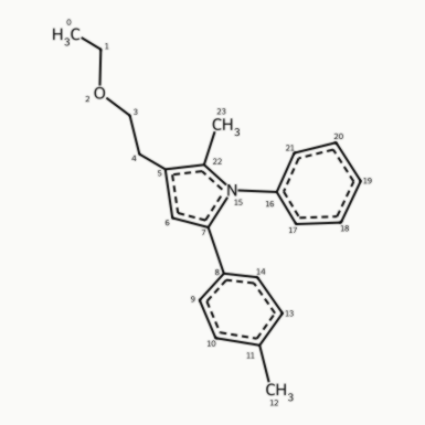 CCOCCc1cc(-c2ccc(C)cc2)n(-c2ccccc2)c1C